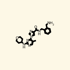 Cc1cnc(NC2CCOCC2)nc1-n1cnc(C(=O)NCc2ccccc2CN)c1